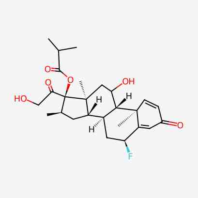 CC(C)C(=O)O[C@]1(C(=O)CO)[C@H](C)C[C@H]2[C@@H]3C[C@H](F)C4=CC(=O)C=C[C@]4(C)[C@H]3C(O)C[C@@]21C